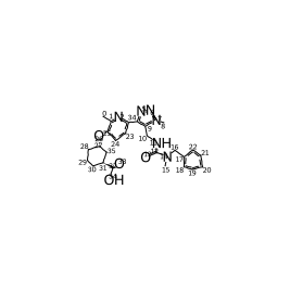 Cc1nc(-c2nnn(C)c2CNC(=O)N(C)Cc2ccccc2)ccc1O[C@H]1CCC[C@H](C(=O)O)C1